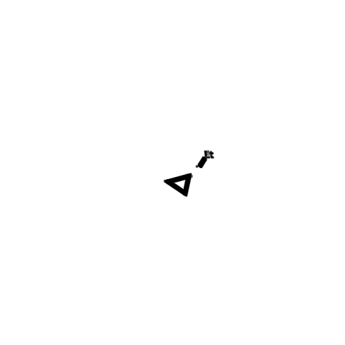 [CH2]CC.[CH]1CC1